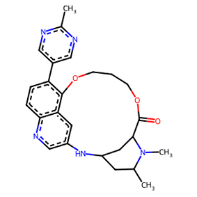 Cc1ncc(-c2ccc3ncc4cc3c2OCCCOC(=O)C2CC(CC(C)N2C)N4)cn1